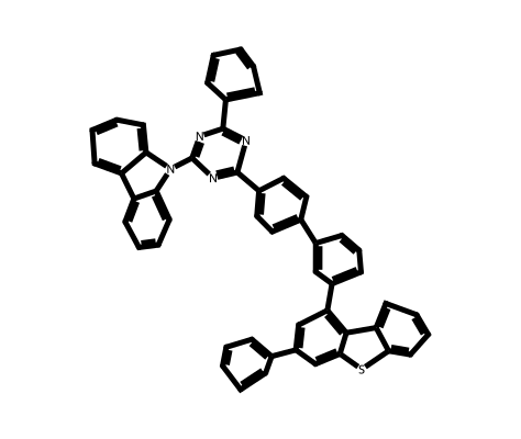 c1ccc(-c2cc(-c3cccc(-c4ccc(-c5nc(-c6ccccc6)nc(-n6c7ccccc7c7ccccc76)n5)cc4)c3)c3c(c2)sc2ccccc23)cc1